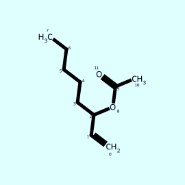 C=CC(CCCCC)OC(C)=O